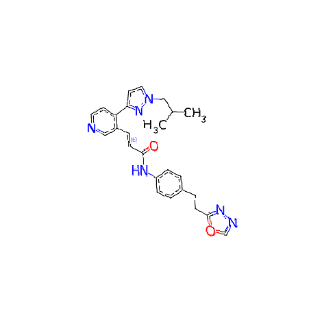 CC(C)Cn1ccc(-c2ccncc2/C=C/C(=O)Nc2ccc(CCc3nnco3)cc2)n1